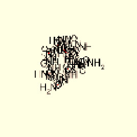 CCCC[C@@H](C)N(C)C(=O)[C@H](Cc1c[nH]c2ccccc12)NC(=O)[C@H](CO)NC(=O)[C@H](Cc1c[nH]c2ccccc12)NC(=O)CN(C)C(=O)[C@@H](NC(=O)[C@H](Cc1cnc[nH]1)NC(=O)[C@@H]1CCCN1C(=O)[C@H](CC(N)=O)NC(=O)[C@H](C)N(C)C(=O)[C@H](Cc1ccccc1)NC(=O)CSC[C@H](NC(=O)[C@H](CCCNC(=N)N)NC(=O)[C@H](CCCC)N(C)CO)C(=O)NCC(N)=O)C(C)CC